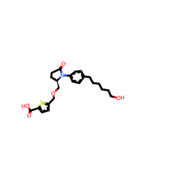 O=C(O)c1ccc(COC[C@H]2CCC(=O)N2c2ccc(CCCCCCO)cc2)s1